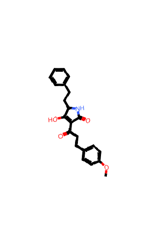 COc1ccc(CCC(=O)C2=C(O)C(CCc3ccccc3)NC2=O)cc1